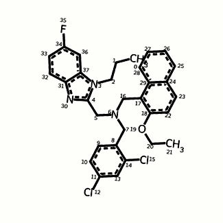 CCCn1c(CN(Cc2ccc(Cl)cc2Cl)Cc2c(OCC)ccc3ccccc23)nc2ccc(F)cc21